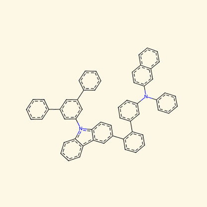 c1ccc(-c2cc(-c3ccccc3)cc(-n3c4ccccc4c4cc(-c5ccccc5-c5cccc(N(c6ccccc6)c6ccc7ccccc7c6)c5)ccc43)c2)cc1